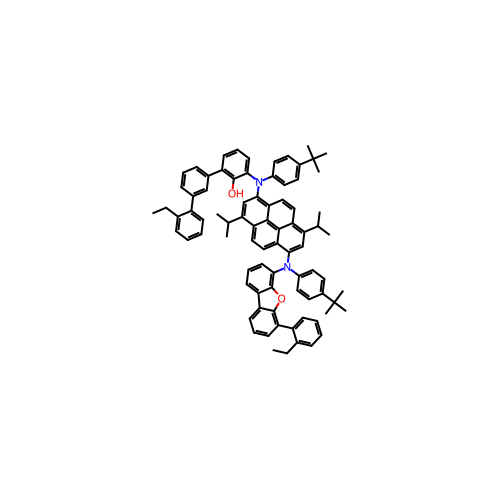 CCc1ccccc1-c1cccc(-c2cccc(N(c3ccc(C(C)(C)C)cc3)c3cc(C(C)C)c4ccc5c(N(c6ccc(C(C)(C)C)cc6)c6cccc7c6oc6c(-c8ccccc8CC)cccc67)cc(C(C)C)c6ccc3c4c65)c2O)c1